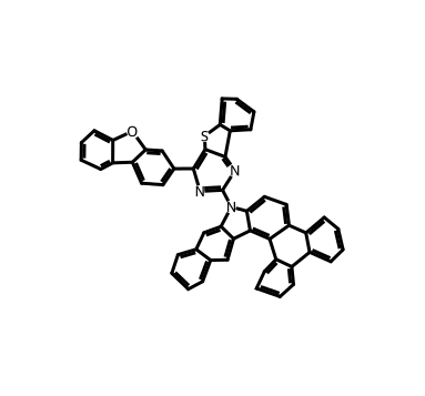 c1ccc2cc3c(cc2c1)c1c2c4ccccc4c4ccccc4c2ccc1n3-c1nc(-c2ccc3c(c2)oc2ccccc23)c2sc3ccccc3c2n1